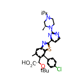 Cc1cc2nc(-c3ccnc(N4CCN(C(C)C)C[C@@H]4C)n3)sc2c(-c2ccc(Cl)cc2)c1[C@H](OC(C)(C)C)C(=O)O